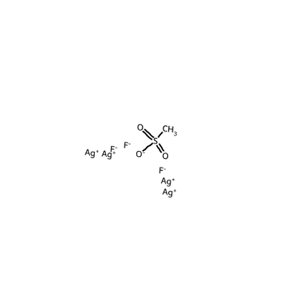 CS(=O)(=O)[O-].[Ag+].[Ag+].[Ag+].[Ag+].[F-].[F-].[F-]